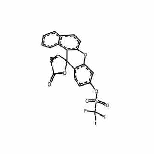 O=C1OC2(c3ccc(OS(=O)(=O)C(F)(F)F)cc3Oc3ccc4ccccc4c32)c2ccccc21